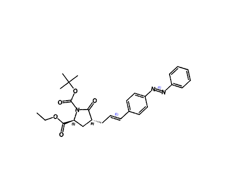 CCOC(=O)[C@@H]1C[C@@H](C/C=C/c2ccc(/N=N/c3ccccc3)cc2)C(=O)N1C(=O)OC(C)(C)C